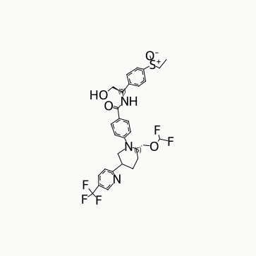 CC[S+]([O-])c1ccc([C@H](CO)NC(=O)c2ccc(N3CC(c4ccc(C(F)(F)F)cn4)CC[C@H]3COC(F)F)cc2)cc1